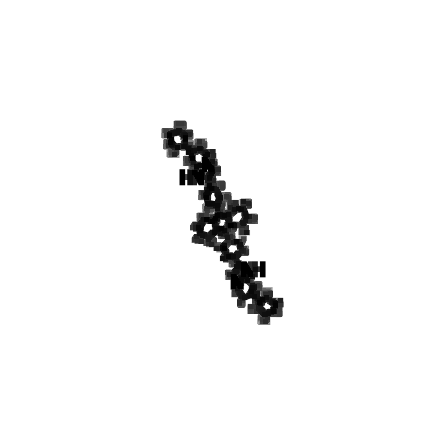 C1=CN2C=C(c3ccc(-c4c5ccccc5c(-c5ccc(C6=CN7C=CC(c8ccccc8)=CC7N6)cc5)c5ccccc45)cc3)NC2C=C1c1ccccc1